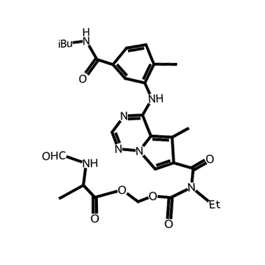 CCC(C)NC(=O)c1ccc(C)c(Nc2ncnn3cc(C(=O)N(CC)C(=O)OCOC(=O)C(C)NC=O)c(C)c23)c1